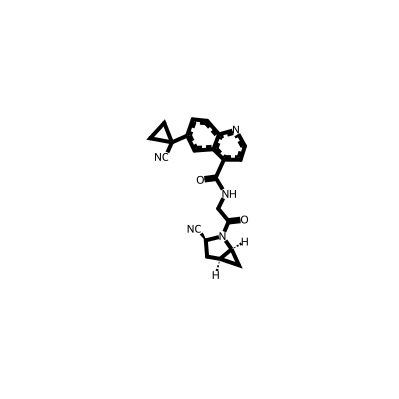 N#C[C@@H]1C[C@@H]2C[C@@H]2N1C(=O)CNC(=O)c1ccnc2ccc(C3(C#N)CC3)cc12